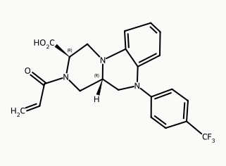 C=CC(=O)N1C[C@H]2CN(c3ccc(C(F)(F)F)cc3)c3ccccc3N2C[C@@H]1C(=O)O